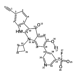 C#Cc1ccc2c(c1)[nH]c1c2c(=O)c2cc(OCC)c(-c3cncc(S(=O)(=O)F)c3)cc2n1C1CCC1